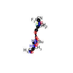 Cc1ncoc1-c1ccc([C@H](C)NC(=O)[C@@H]2CCCN2C(=O)C(NC(=O)COCCCCOc2ccc(-c3ccc(N4C(=S)N(c5ccc(C#N)c(C(F)(F)F)c5)C(=O)C4(C)C)c(F)c3)cc2)C(C)(C)C)cc1